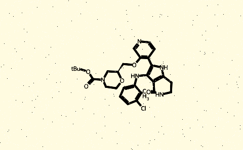 Cc1c(Cl)cccc1Nc1c(-c2ccncc2OC[C@@H]2CN(C(=O)OC(C)(C)C)CCO2)[nH]c2c1C(=O)NCC2